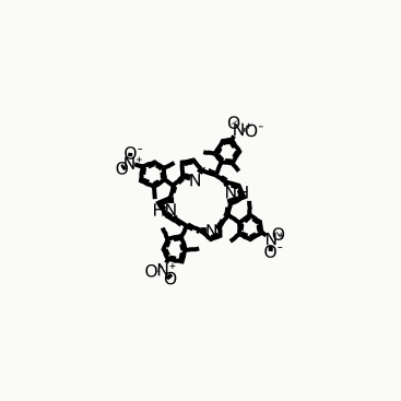 Cc1cc([N+](=O)[O-])cc(C)c1-c1c2nc(c(-c3c(C)cc([N+](=O)[O-])cc3C)c3ccc([nH]3)c(-c3c(C)cc([N+](=O)[O-])cc3C)c3nc(c(-c4c(C)cc([N+](=O)[O-])cc4C)c4ccc1[nH]4)C=C3)C=C2